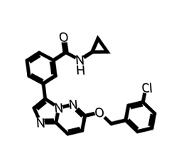 O=C(NC1CC1)c1cccc(-c2cnc3ccc(OCc4cccc(Cl)c4)nn23)c1